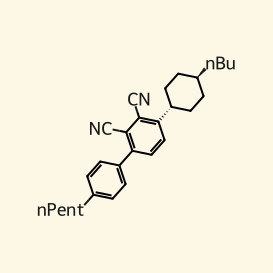 CCCCCc1ccc(-c2ccc([C@H]3CC[C@H](CCCC)CC3)c(C#N)c2C#N)cc1